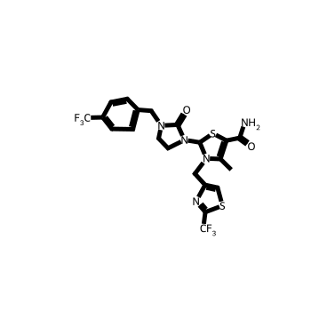 CC1=C(C(N)=O)SC(N2CCN(Cc3ccc(C(F)(F)F)cc3)C2=O)N1Cc1csc(C(F)(F)F)n1